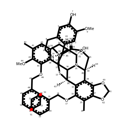 COc1cc2c(cc1O)CCN[C@]21CS[C@@H]2c3c(OCc4ccccc4)c(C)c4c(c3[C@H](COC1=O)N1C2C2c3c(cc(C)c(OC)c3OCc3ccccc3)C[C@@H]([C@@H]1O)N2C)OCO4